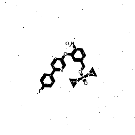 O=[N+]([O-])c1ccc(COP(=O)(N2CC2)N2CC2)cc1Oc1ccc(-c2ccc(F)cc2)nc1